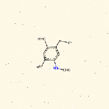 CCCc1cc(OC)c(CC(C)C)cc1NC=O